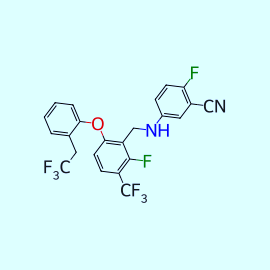 N#Cc1cc(NCc2c(Oc3ccccc3CC(F)(F)F)ccc(C(F)(F)F)c2F)ccc1F